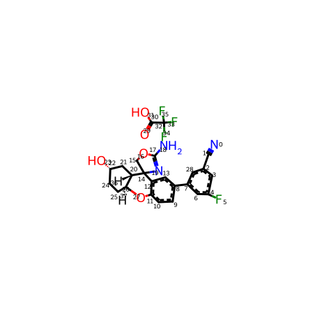 N#Cc1cc(F)cc(-c2ccc3c(c2)C2(COC(N)=N2)[C@H]2C[C@@H](O)CC[C@@H]2O3)c1.O=C(O)C(F)(F)F